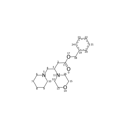 O=C(CC(CN1CCCCC1)N1CCOCC1)OCc1ccccc1